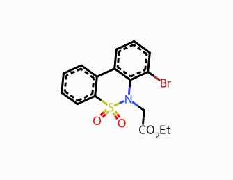 CCOC(=O)CN1c2c(Br)cccc2-c2ccccc2S1(=O)=O